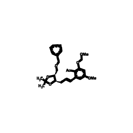 COCOc1cc(OC)cc(/C=C/C[C@@H]2OC(C)(C)O[C@@H]2COCc2ccccc2)c1C(C)=O